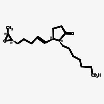 C[C@@H]1O[C@H]1CCCC=C[C@H]1CCC(=O)[C@@H]1CCCCCCC(=O)O